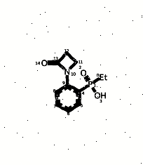 CCP(=O)(O)c1ccccc1N1CCC1=O